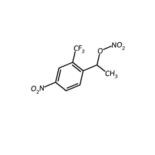 CC(O[N+](=O)[O-])c1ccc([N+](=O)[O-])cc1C(F)(F)F